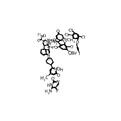 CCN(CC)C(=O)[C@@H]1C=C2c3cccc4[nH]cc(c34)C[C@H]2N(C)C1.COC1=CC(=O)C[C@@H](C)[C@]12Oc1c(Cl)c(OC)cc(OC)c1C2=O.Cc1cc(C2CCCCC2)n(O)c(=O)c1.Clc1cc(Cl)c(OCC#CI)cc1Cl.Nc1[nH]c(=O)ncc1F